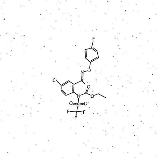 CCOC(=O)N(c1ccc(Cl)cc1/C(C)=N/Oc1ccc(F)cc1)S(=O)(=O)C(F)(F)F